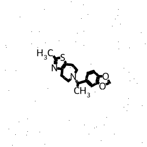 Cc1nc2c(s1)CCN(C(C)c1ccc3c(c1)OCO3)CC2